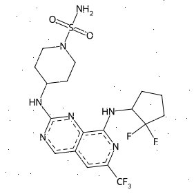 NS(=O)(=O)N1CCC(Nc2ncc3cc(C(F)(F)F)nc(NC4CCCC4(F)F)c3n2)CC1